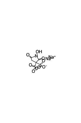 O=C1CC(S(=O)(=O)[O-])(S(=O)(=O)[O-])C(=O)N1O.[Na+].[Na+]